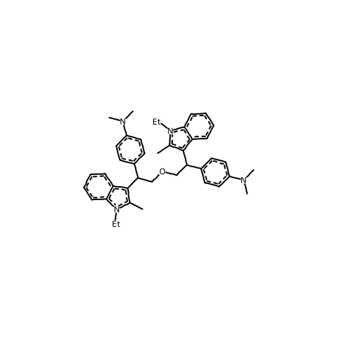 CCn1c(C)c(C(COCC(c2ccc(N(C)C)cc2)c2c(C)n(CC)c3ccccc23)c2ccc(N(C)C)cc2)c2ccccc21